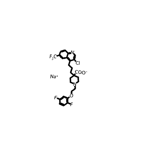 O=C([O-])C1(CCCc2c(Cl)cnc3ccc(C(F)(F)F)cc23)CCN(CCOc2cc(F)ccc2F)CC1.[Na+]